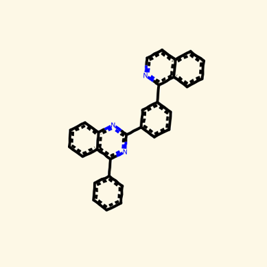 c1ccc(-c2nc(-c3cccc(-c4nccc5ccccc45)c3)nc3ccccc23)cc1